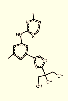 Cc1cc(Nc2nccc(C)n2)cc(-c2cnc(C(O)(CO)CO)s2)c1